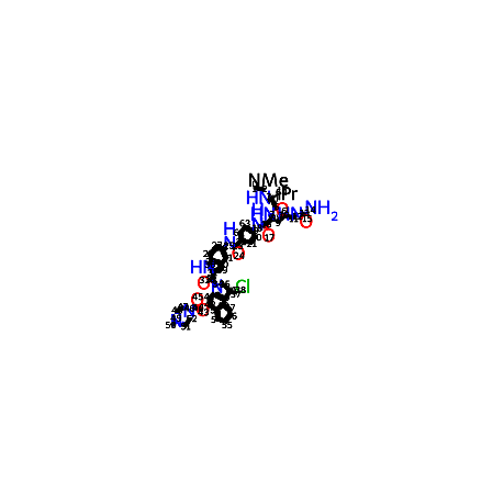 CNCCN[C@H](C(=O)N[C@@H](CCCNC(N)=O)C(=O)Nc1ccc(C(=O)Nc2ccc3[nH]c(C(=O)N4C[C@@H](CCl)c5c4cc(OC(=O)N4CCN(C)CC4)c4ccccc54)cc3c2)cc1)C(C)C